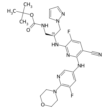 CC(C)(C)OC(=O)NC[C@@H](Cn1cccn1)Nc1nc(Nc2cnc(N3CCOCC3)c(F)c2)c(C#N)cc1F